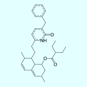 CCC(CC)C(=O)OC1CC(C)C=C2C=CC(C)C(CCc3ccc(Cc4ccccc4)c(=O)[nH]3)C21